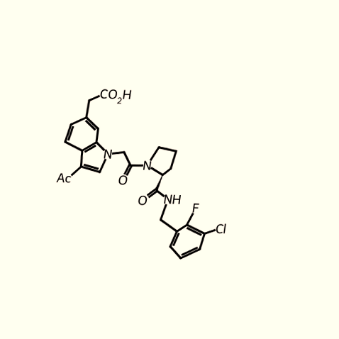 CC(=O)c1cn(CC(=O)N2CCC[C@H]2C(=O)NCc2cccc(Cl)c2F)c2cc(CC(=O)O)ccc12